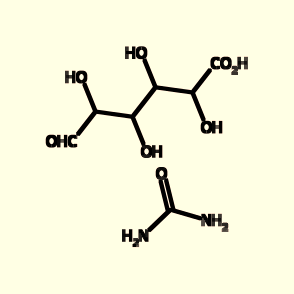 NC(N)=O.O=CC(O)C(O)C(O)C(O)C(=O)O